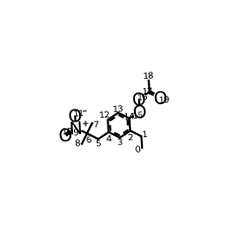 CCc1cc(CC(C)(C)[N+](=O)[O-])ccc1OOC(C)=O